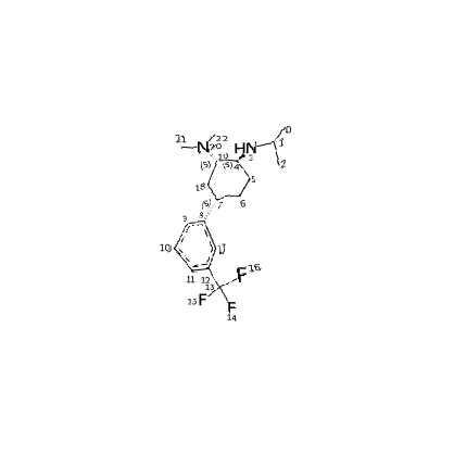 CC(C)N[C@H]1CC[C@H](c2cccc(C(F)(F)F)c2)C[C@@H]1N(C)C